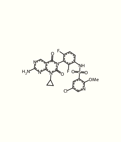 COc1ncc(Cl)cc1S(=O)(=O)Nc1ccc(F)c(-n2c(=O)c3cnc(N)nc3n(C3CC3)c2=O)c1F